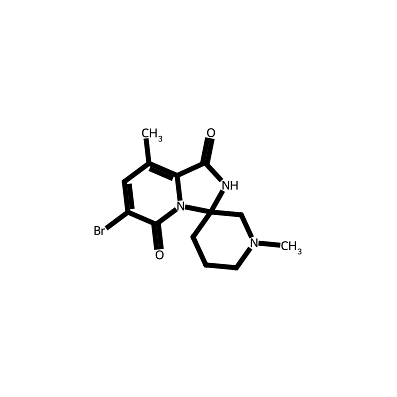 Cc1cc(Br)c(=O)n2c1C(=O)NC21CCCN(C)C1